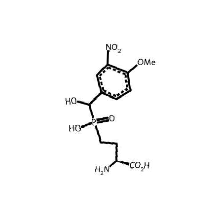 COc1ccc(C(O)P(=O)(O)CC[C@H](N)C(=O)O)cc1[N+](=O)[O-]